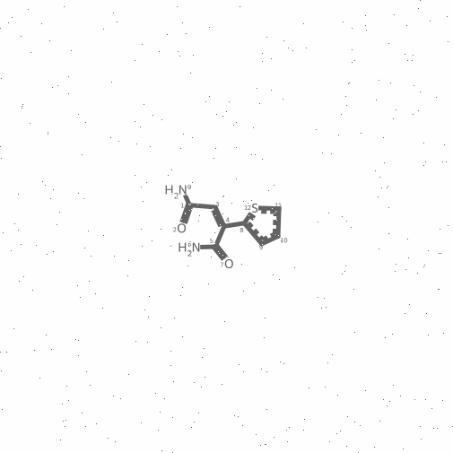 NC(=O)/C=C(\C(N)=O)c1cccs1